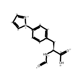 O=CN[C@@H](Cc1ccc(-n2cccn2)cc1)C(=O)O